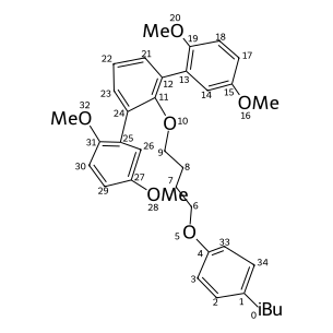 CCC(C)c1ccc(OCCCCOc2c(-c3cc(OC)ccc3OC)cccc2-c2cc(OC)ccc2OC)cc1